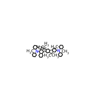 Cc1ccccc1N(c1ccc2c(c1)C(C)(C)c1cc3c(cc1-2)C(C)(C)c1cc(N(c2ccccc2C)c2ccccc2C)c2ccccc2c1-3)c1ccccc1C